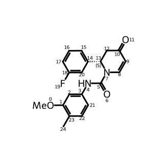 COc1cc(NC(=O)N2C=CC(=O)C[C@H]2c2cccc(F)c2)ccc1C